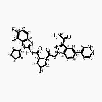 NC(=O)c1nn(CC(=O)N2CC(F)CC2C(=O)Nc2nc3ccc(F)c(F)c3n2C2CCCC2)c2ccc(-c3ccnnc3)cc12